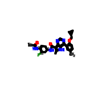 CCC(=O)N[C@H]1CC[C@@H](NC(=O)c2c(C)[nH]c3c(-c4cc(C(F)(F)F)ccc4OCC4CC4)ncnc23)C[C@H]1F